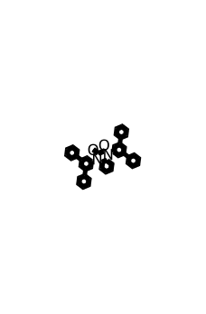 O=c1c(=O)n(-c2cc(-c3ccccc3)cc(-c3ccccc3)c2)c2ccccc2n1-c1cc(-c2ccccc2)cc(-c2ccccc2)c1